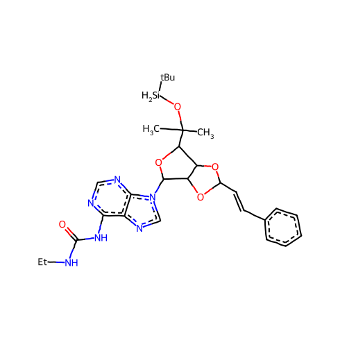 CCNC(=O)Nc1ncnc2c1ncn2C1OC(C(C)(C)O[SiH2]C(C)(C)C)C2OC(C=Cc3ccccc3)OC21